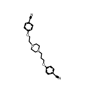 N#Cc1ccc(OCCCN2CCN(CCOc3ccc(C#N)cc3)CC2)cc1